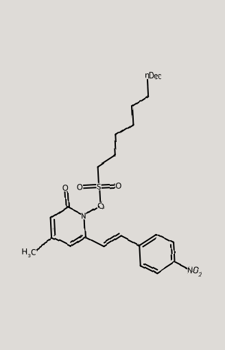 CCCCCCCCCCCCCCCCS(=O)(=O)On1c(/C=C/c2ccc([N+](=O)[O-])cc2)cc(C)cc1=O